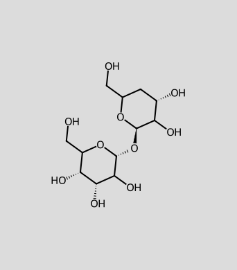 OCC1C[C@H](O)C(O)[C@@H](O[C@H]2OC(CO)[C@@H](O)[C@@H](O)C2O)O1